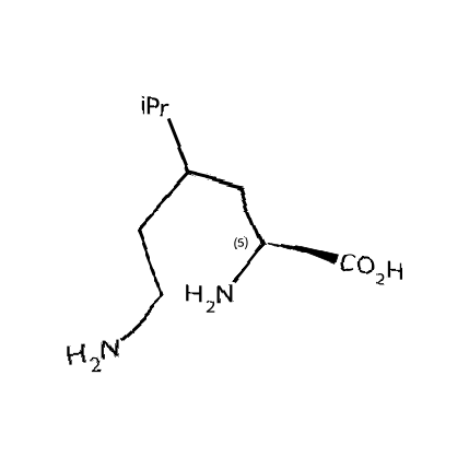 CC(C)C(CCN)C[C@H](N)C(=O)O